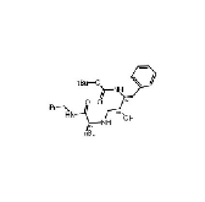 CCCC[C@H](NC[C@@H](O)[C@H](Cc1ccccc1)NC(=O)OC(C)(C)C)C(=O)NCC(C)C